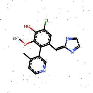 CCCOc1c(O)c(Cl)cc(C=C2N=CC=N2)c1-c1cnccc1C